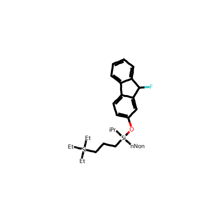 CCCCCCCCC[Si](CCC[Si](CC)(CC)CC)(Oc1ccc2c(c1)C(F)c1c[c]ccc1-2)C(C)C